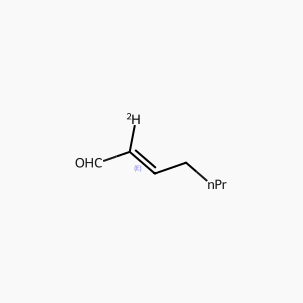 [2H]/C(C=O)=C\CCCC